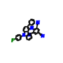 N#Cc1cc(C#N)c(-n2c3ccccc3c3ccc4c(c5ccccc5n4-c4ccc(F)cc4)c32)c(C#N)c1